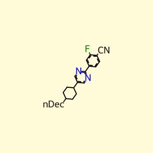 CCCCCCCCCCC1CCC(c2cnc(-c3ccc(C#N)c(F)c3)nc2)CC1